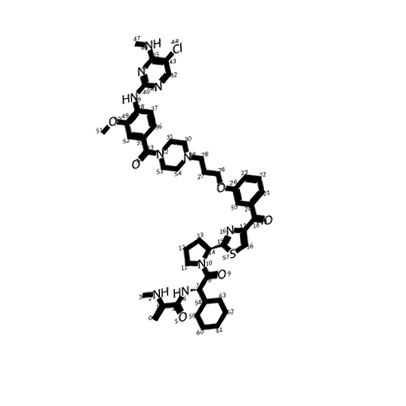 C=C(NC)C(=O)N[C@H](C(=O)N1CCC[C@H]1c1nc(C(=O)c2cccc(OCCCN3CCN(C(=O)c4ccc(Nc5ncc(Cl)c(NC)n5)c(OC)c4)CC3)c2)cs1)C1CCCCC1